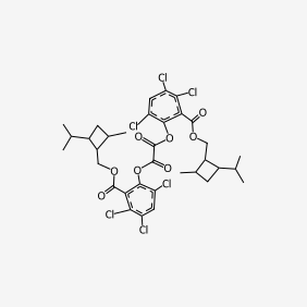 CC(C)C1CC(C)C1COC(=O)c1c(Cl)c(Cl)cc(Cl)c1OC(=O)C(=O)Oc1c(Cl)cc(Cl)c(Cl)c1C(=O)OCC1C(C)CC1C(C)C